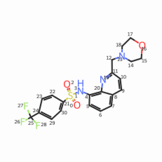 O=S(=O)(Nc1cccc2ccc(CN3CCOCC3)nc12)c1ccc(C(F)(F)F)cc1